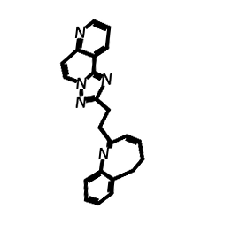 C1=C\C(CCc2nc3c4cccnc4ccn3n2)=N/c2ccccc2CC/1